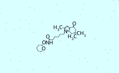 Cc1cc2c(n1CCCCCC(=O)NOC1CCCCO1)CC(C)(C)CC2=O